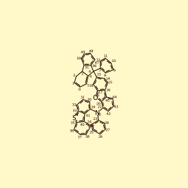 C1=CCC2C(=C1)C(c1ccccc1)(c1ccc3c(c1)oc1c(N(c4ccccc4)c4cccc5sc6ccccc6c45)cccc13)c1ccccc12